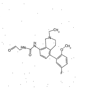 CCN1CCc2c(-c3cc(F)ccc3OC)ccc(NC(=O)NCC=O)c2C1